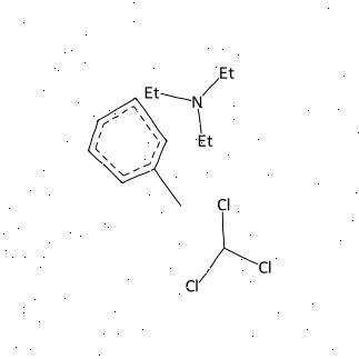 CCN(CC)CC.Cc1ccccc1.ClC(Cl)Cl